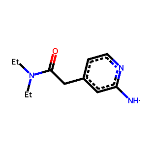 CCN(CC)C(=O)Cc1ccnc([NH])c1